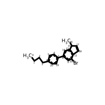 CCCCc1ccc(-c2cc(Br)c3c(c2)C(C)C=C3)cc1